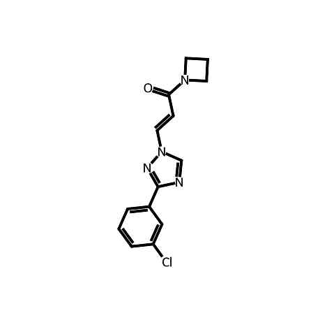 O=C(C=Cn1cnc(-c2cccc(Cl)c2)n1)N1CCC1